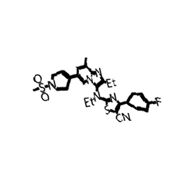 CCc1nc2c(C)cc(C3=CCN(S(C)(=O)=O)CC3)cn2c1N(CC)c1nc(C2C=CC(F)=CC2)c(C#N)s1